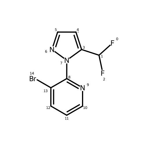 FC(F)c1[c]cnn1-c1ncccc1Br